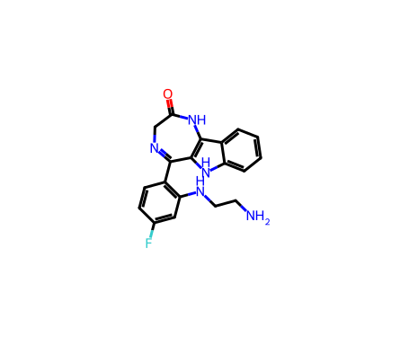 NCCNc1cc(F)ccc1C1=NCC(=O)Nc2c1[nH]c1ccccc21